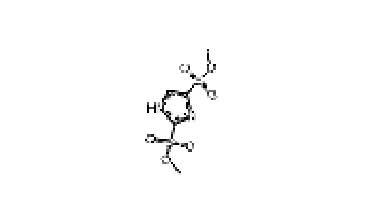 COS(=O)(=O)c1c[nH]c(S(=O)(=O)OC)n1